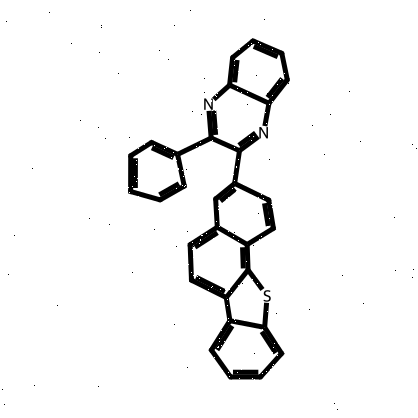 c1ccc(-c2nc3ccccc3nc2-c2ccc3c(ccc4c5ccccc5sc34)c2)cc1